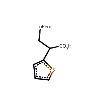 CCCCCCC(C(=O)O)c1cccs1